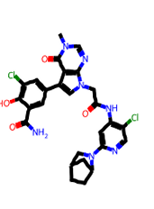 Cn1cnc2c(c(-c3cc(Cl)c(O)c(C(N)=O)c3)cn2CC(=O)Nc2cc(N3CC4CCC3C4)ncc2Cl)c1=O